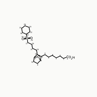 O=C(O)CCCCCCC1C2CCC(O2)C1CCCCS(=O)(=O)C1CCCCC1